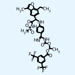 CCc1cc(C(Nc2ccc(C(=N)NC(=O)OC(C)OC(=O)c3cc(C(F)(F)F)cc(C(F)(F)F)c3)cc2)C(=O)NS(N)(=O)=O)cc2c(C)coc12